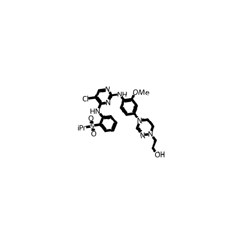 COc1cc(N2C=NN(CCO)CC2)ccc1Nc1ncc(Cl)c(Nc2ccccc2S(=O)(=O)C(C)C)n1